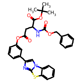 CC(C)(C)OC(=O)C(CC(=O)Oc1cccc(-c2cn3c(n2)sc2ccccc23)c1)NC(=O)OCc1ccccc1